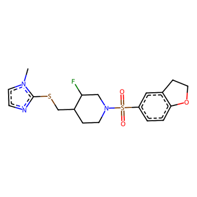 Cn1ccnc1SCC1CCN(S(=O)(=O)c2ccc3c(c2)CCO3)CC1F